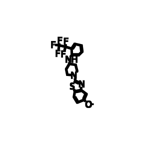 [O]c1ccc2sc(N3CCC(Nc4ccccc4C(F)(F)C(F)(F)F)CC3)nc2c1